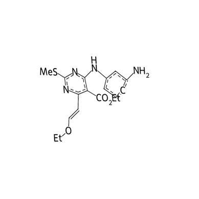 CCO/C=C/c1nc(SC)nc(Nc2cccc(N)c2)c1C(=O)OCC